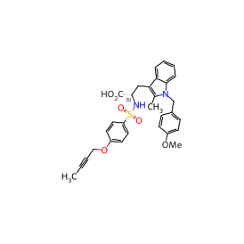 CC#CCOc1ccc(S(=O)(=O)N[C@@H](Cc2c(C)n(Cc3ccc(OC)cc3)c3ccccc23)C(=O)O)cc1